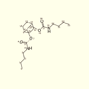 CCCCNC(=O)OC1C2CCC(CC2)C1OC(=O)NCCCC